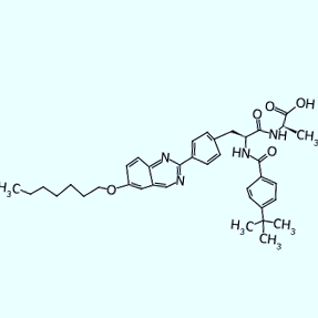 CCCCCCCOc1ccc2nc(-c3ccc(C[C@H](NC(=O)c4ccc(C(C)(C)C)cc4)C(=O)N[C@H](C)C(=O)O)cc3)ncc2c1